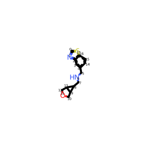 c1nc2cc(CNCC3C4COCC34)ccc2s1